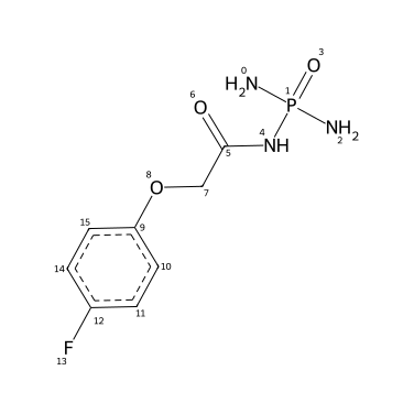 NP(N)(=O)NC(=O)COc1ccc(F)cc1